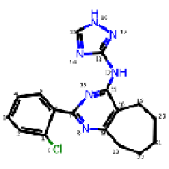 Clc1ccccc1-c1nc2c(c(Nc3nc[nH]n3)n1)CCCCC2